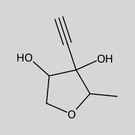 C#CC1(O)C(O)COC1C